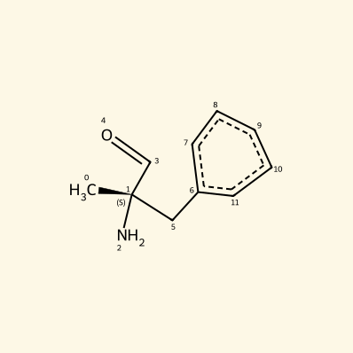 C[C@@](N)(C=O)Cc1ccccc1